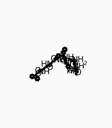 CCC(=O)NCCNC(=O)/N=C(/N)NCCC[C@@H](NC(=O)[C@H](c1cccc(NC(=O)CCCNC(=O)CCCCCNC(=O)OCC2c3ccccc3-c3ccccc32)c1)N1Cc2ccccc2C1)C(=O)NCc1ccc(O)cc1